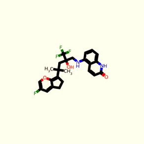 CC(C)(CC(O)(CNc1cccc2[nH]c(=O)ccc12)C(F)(F)F)C1=C2OC=C(F)C=C2CC1